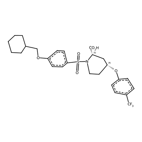 O=C(O)[C@@H]1C[C@H](Oc2ccc(C(F)(F)F)cc2)CCN1S(=O)(=O)c1ccc(OCC2CCCCC2)cc1